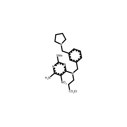 CCOC(=O)CCN(Cc1cccc(CN2CCCC2)c1)c1nc(SC)nc(N)c1[N+](=O)[O-]